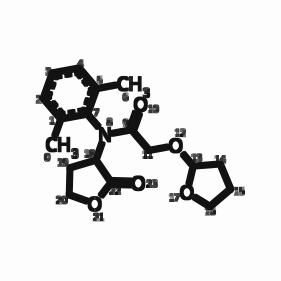 Cc1cccc(C)c1N(C(=O)COC1CCCO1)C1CCOC1=O